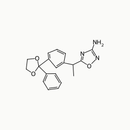 CC(c1cccc(C2(c3ccccc3)OCCO2)c1)c1nc(N)no1